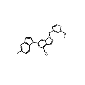 COc1cc(Cn2ccc3c(Cl)cc(-n4ccc5cc(F)ccc54)cc32)ccn1